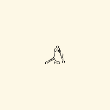 O=C(O)O.[O]=[La]=[O]